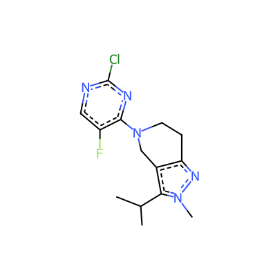 CC(C)c1c2c(nn1C)CCN(c1nc(Cl)ncc1F)C2